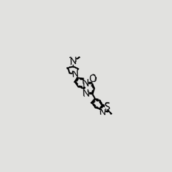 Cc1nc2ccc(-c3cc(=O)n4cc(N5CC[C@@H](N(C)C)C5)ccc4n3)cc2s1